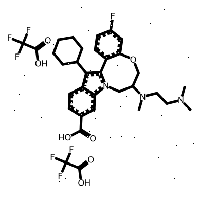 CN(C)CCN(C)C1COc2cc(F)ccc2-c2c(C3CCCCC3)c3ccc(C(=O)O)cc3n2C1.O=C(O)C(F)(F)F.O=C(O)C(F)(F)F